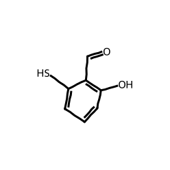 O=Cc1c(O)cccc1S